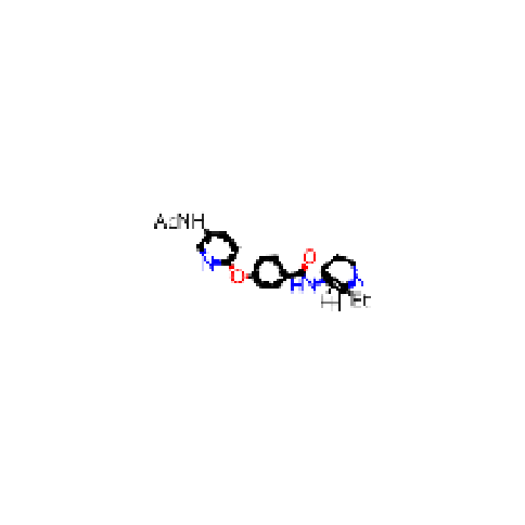 CC[C@H]1[C@H](NC(=O)c2ccc(Oc3ccc(NC(C)=O)cn3)cc2)C2CCN1CC2